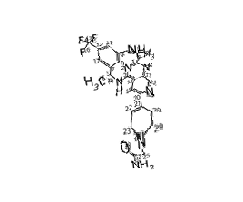 Cc1nc(N[C@H](C)c2cc(N)cc(C(F)(F)F)c2)c2cc(C3=CCN(CC(N)=O)CC3)ncc2n1